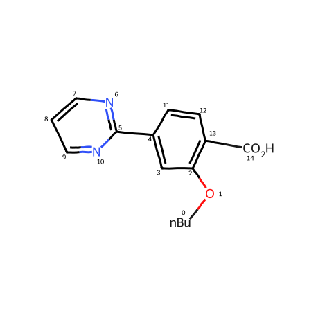 CCCCOc1cc(-c2ncccn2)ccc1C(=O)O